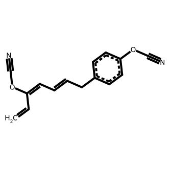 C=C/C(=C\C=C\Cc1ccc(OC#N)cc1)OC#N